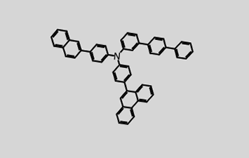 c1ccc(-c2ccc(-c3cccc(N(c4ccc(-c5ccc6ccccc6c5)cc4)c4ccc(-c5cc6ccccc6c6ccccc56)cc4)c3)cc2)cc1